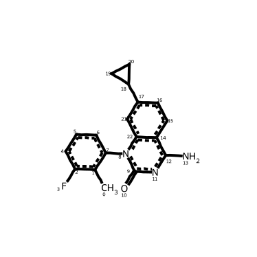 Cc1c(F)cccc1-n1c(=O)nc(N)c2ccc(C3CC3)cc21